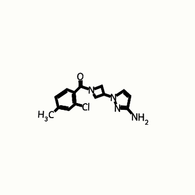 Cc1ccc(C(=O)N2CC(n3ccc(N)n3)C2)c(Cl)c1